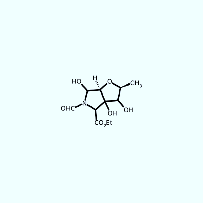 CCOC(=O)C1N(C=O)C(O)[C@H]2O[C@@H](C)C(O)C12O